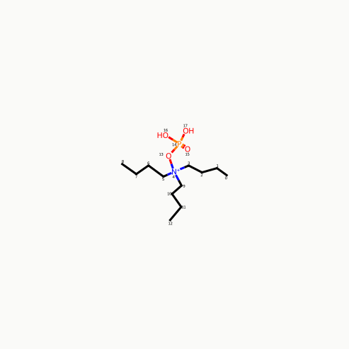 CCCC[N+](CCCC)(CCCC)OP(=O)(O)O